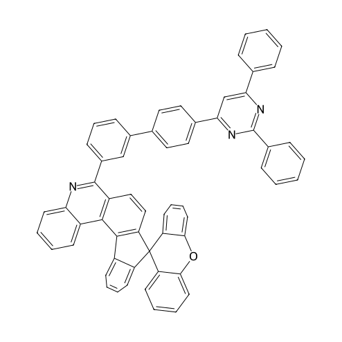 c1ccc(-c2cc(-c3ccc(-c4cccc(-c5nc6ccccc6c6c7c(ccc56)C5(c6ccccc6Oc6ccccc65)c5ccccc5-7)c4)cc3)nc(-c3ccccc3)n2)cc1